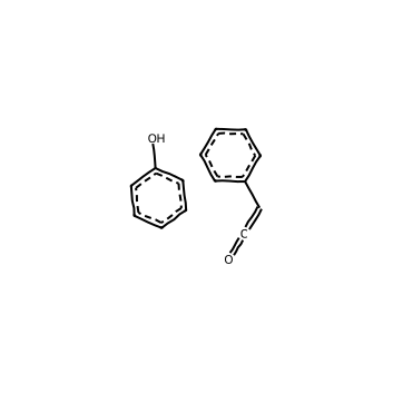 O=C=Cc1ccccc1.Oc1ccccc1